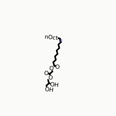 CCCCCCCC/C=C\CCCCCCCC(=O)OCC(=O)OCC(O)CO